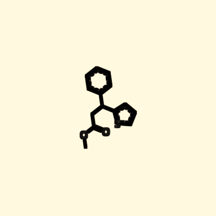 COC(=O)CC(c1ccccc1)c1cccs1